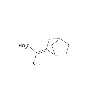 CC(C(=O)O)=C1CC2CCC1C2